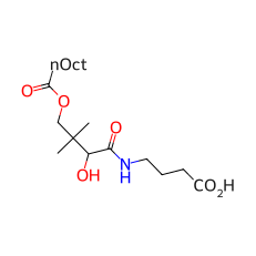 CCCCCCCCC(=O)OCC(C)(C)C(O)C(=O)NCCCC(=O)O